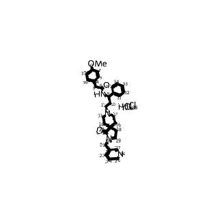 COc1ccc(CC(=O)NC(CCN2CCC3(CC2)CCN(Cc2cccnc2)C3=O)c2ccccc2)cc1.Cl.Cl